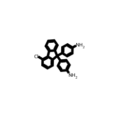 Nc1ccc(C2(c3ccc(N)cc3)c3ccccc3-c3c(Cl)cccc32)cc1